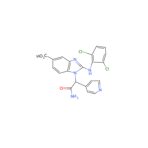 NC(=O)C(c1ccncc1)n1c(Nc2c(Cl)cccc2Cl)nc2cc(C(=O)O)ccc21